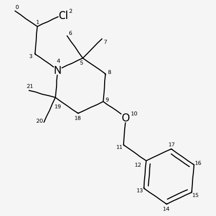 CC(Cl)CN1C(C)(C)CC(OCc2ccccc2)CC1(C)C